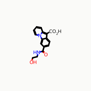 O=C(NCCO)c1ccc2c(C(=O)O)c3ccccn3c2c1